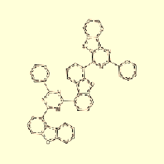 c1ccc(-c2nc(-c3cccc4oc5ccccc5c34)nc(-c3cccc4oc5c(-c6nc(-c7ccccc7)nc7c6sc6ccccc67)cccc5c34)n2)cc1